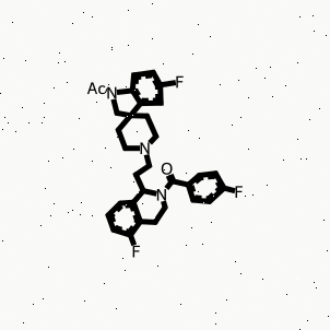 CC(=O)N1CC2(CCN(CCC3c4cccc(F)c4CCN3C(=O)c3ccc(F)cc3)CC2)c2cc(F)ccc21